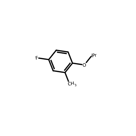 Cc1cc(F)ccc1OC(C)C